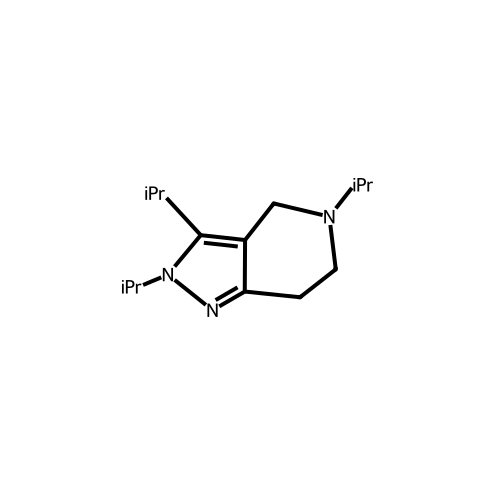 CC(C)c1c2c(nn1C(C)C)CCN(C(C)C)C2